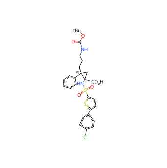 CC(C)(C)OC(=O)NCCC[C@@]1(c2ccccc2)CC1(NS(=O)(=O)c1ccc(-c2ccc(Cl)cc2)s1)C(=O)O